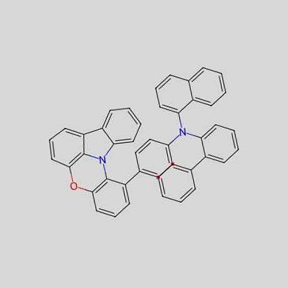 c1ccc(-c2ccccc2N(c2ccc(-c3cccc4c3-n3c5ccccc5c5cccc(c53)O4)cc2)c2cccc3ccccc23)cc1